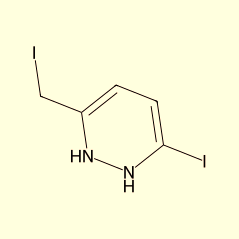 ICC1=CC=C(I)NN1